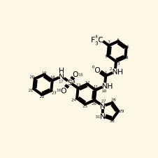 O=C(Nc1cccc(C(F)(F)F)c1)Nc1cc(S(=O)(=O)Nc2ccccc2)ccc1-n1cccn1